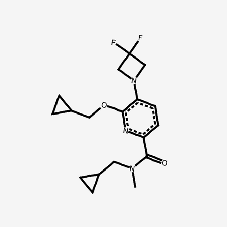 CN(CC1CC1)C(=O)c1ccc(N2CC(F)(F)C2)c(OCC2CC2)n1